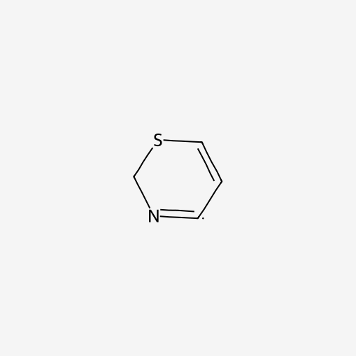 [C]1=NCSC=C1